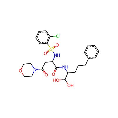 O=C(NC(CCCc1ccccc1)B(O)O)C(CC(=O)N1CCOCC1)NS(=O)(=O)c1ccccc1Cl